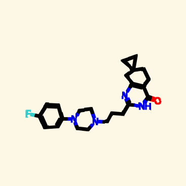 O=c1[nH]c(CCCN2CCN(c3ccc(F)cc3)CC2)nc2c1CCC1(CC1)C2